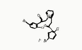 O=C(Cc1cccc[n+]1CC(=O)c1cc(Br)ccc1Cl)c1cc(Br)ccc1Cl.[I-]